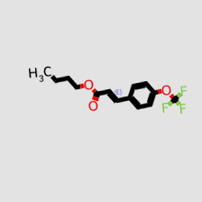 CCCCOC(=O)/C=C/c1ccc(OC(F)(F)F)cc1